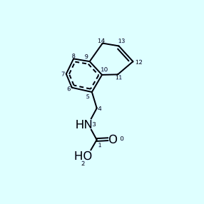 O=C(O)NCc1cccc2c1CC=CC2